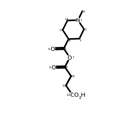 CN1CCC(C(=O)OC(=O)CCC(=O)O)CC1